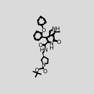 Cc1[nH]cc2c(-c3ccccc3Oc3ccccc3)c(C(=O)NC[C@H]3CCN(C(=O)OC(C)(C)C)C3)[nH]c(=O)c12